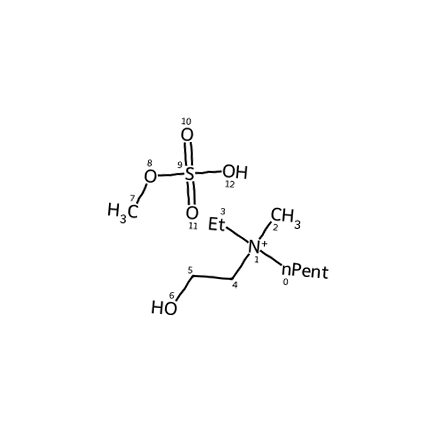 CCCCC[N+](C)(CC)CCO.COS(=O)(=O)O